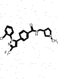 CN1CCC(CNC(=O)c2ccc(-c3cc(C(F)(F)F)nn3-c3ccccc3Cl)cc2)C1